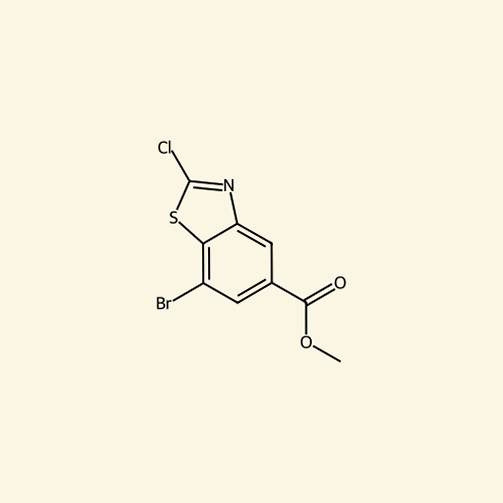 COC(=O)c1cc(Br)c2sc(Cl)nc2c1